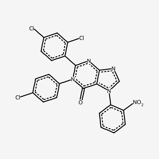 O=c1c2c(ncn2-c2ccccc2[N+](=O)[O-])nc(-c2ccc(Cl)cc2Cl)n1-c1ccc(Cl)cc1